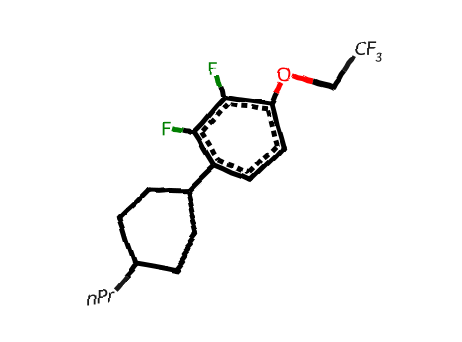 CCCC1CCC(c2ccc(OCC(F)(F)F)c(F)c2F)CC1